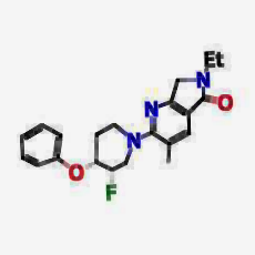 CCN1Cc2nc(N3CC[C@@H](Oc4ccccc4)[C@@H](F)C3)c(C)cc2C1=O